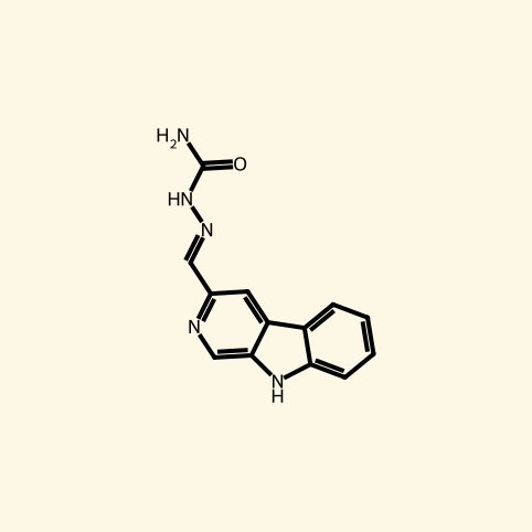 NC(=O)NN=Cc1cc2c(cn1)[nH]c1ccccc12